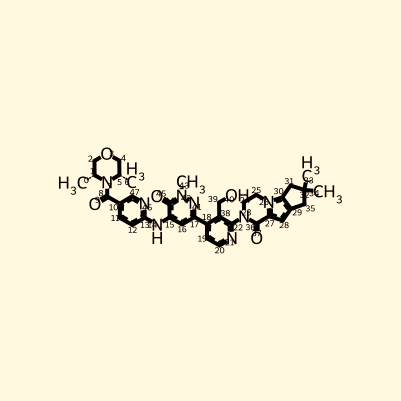 C[C@@H]1COC[C@H](C)N1C(=O)c1ccc(Nc2cc(-c3ccnc(N4CCn5c(cc6c5CC(C)(C)C6)C4=O)c3CO)nn(C)c2=O)nc1